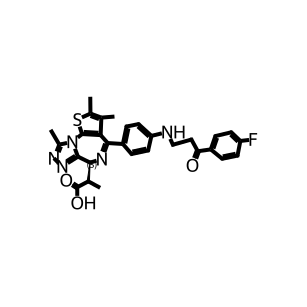 Cc1sc2c(c1C)C(c1ccc(NCCC(=O)c3ccc(F)cc3)cc1)=N[C@@H](C(C)C(=O)O)c1nnc(C)n1-2